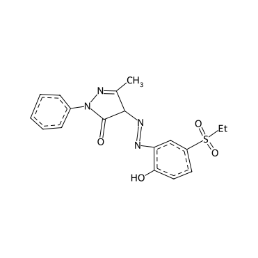 CCS(=O)(=O)c1ccc(O)c(N=NC2C(=O)N(c3ccccc3)N=C2C)c1